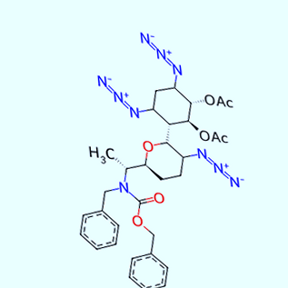 CC(=O)O[C@H]1[C@H](C2O[C@H]([C@@H](C)N(Cc3ccccc3)C(=O)OCc3ccccc3)CCC2N=[N+]=[N-])C(N=[N+]=[N-])CC(N=[N+]=[N-])[C@@H]1OC(C)=O